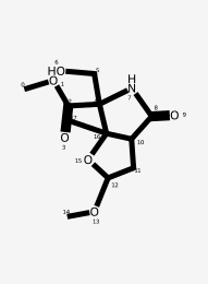 COC(=O)C1(CO)NC(=O)C2CC(OC)OC21C